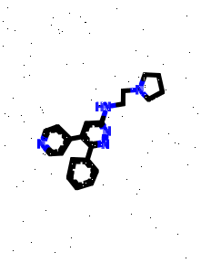 c1ccc(-c2nnc(NCCN3CCCC3)cc2-c2ccncc2)cc1